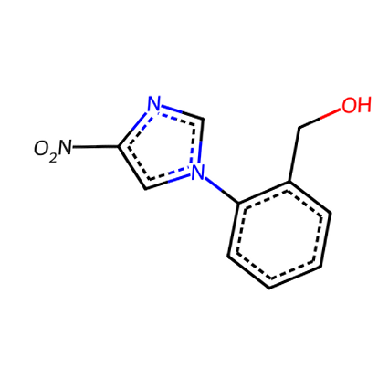 O=[N+]([O-])c1cn(-c2ccccc2CO)cn1